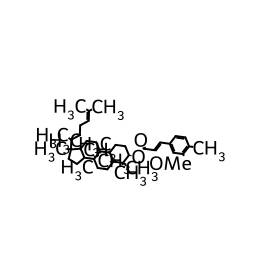 COc1cc(/C=C/C(=O)O[C@H]2CC[C@@]3(C)C(CC[C@@]4(C)C5(C)CCC(C)(C(C)CCC=C(C)C)[C@@]5(C)CC[C@@]34C)C2(C)C)ccc1C